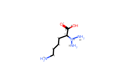 NCCCCC(C(=O)O)N(N)N